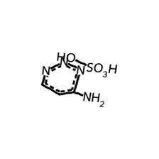 Nc1ccnnn1.O=S(=O)(O)O